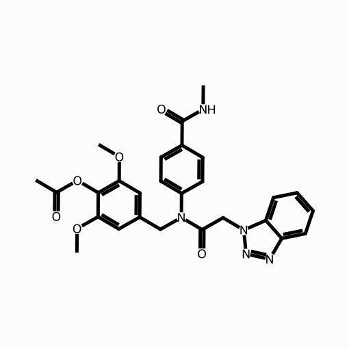 CNC(=O)c1ccc(N(Cc2cc(OC)c(OC(C)=O)c(OC)c2)C(=O)Cn2nnc3ccccc32)cc1